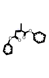 C/C(=C/C(=O)Oc1ccccc1)C(=O)Oc1ccccc1